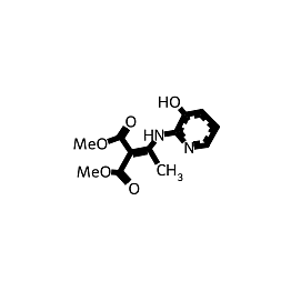 COC(=O)C(C(=O)OC)=C(C)Nc1ncccc1O